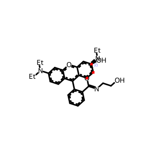 CC/N=c1/ccc2c(-c3ccccc3C(=NCCO)OCCO)c3ccc(N(CC)CC)cc3oc-2c1